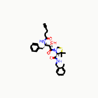 C#CCCC(=O)N[C@@H](Cc1ccccc1)[C@H](O)C(=O)N1CSC(C)(C)[C@H]1C(=O)NCc1ccccc1C